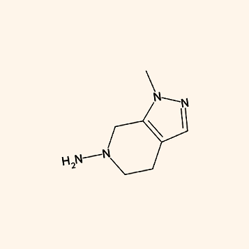 Cn1ncc2c1CN(N)CC2